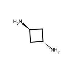 N[C@H]1C[C@H](N)C1